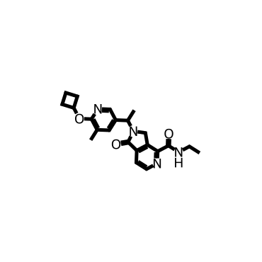 CCNC(=O)c1nccc2c1CN(C(C)c1cnc(OC3CCC3)c(C)c1)C2=O